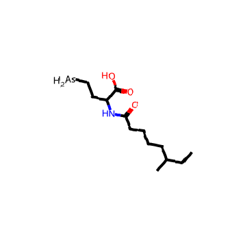 CCC(C)CCCCC(=O)NC(CC[AsH2])C(=O)O